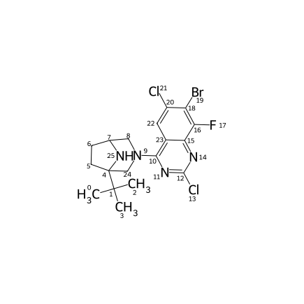 CC(C)(C)C12CCC(CN(c3nc(Cl)nc4c(F)c(Br)c(Cl)cc34)C1)N2